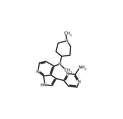 CN1CCC(N(C)c2ccnc3[nH]cc(-c4ccnc(N)n4)c23)CC1